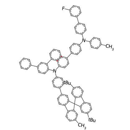 Cc1ccc(N(c2ccc(-c3ccc(N(c4ccc(-c5ccc6c(c5)C5(c7cc(C)ccc7-6)c6cc(C(C)(C)C)ccc6-c6ccc(C(C)(C)C)cc65)cc4)c4ccc(-c5ccccc5)cc4-c4ccccc4)cc3)cc2)c2ccc(-c3cccc(F)c3)cc2)cc1